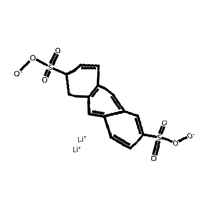 O=S(=O)(O[O-])c1ccc2cc3c(cc2c1)C=CC(S(=O)(=O)O[O-])C3.[Li+].[Li+]